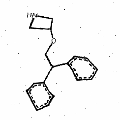 c1ccc(C(COC2CNC2)c2ccccc2)cc1